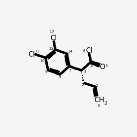 C=CC[C@@H](C(=O)Cl)c1ccc(Cl)c(Cl)c1